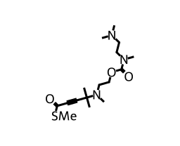 CSC(=O)C#CC(C)(C)N(C)CCOC(=O)N(C)CCN(C)C